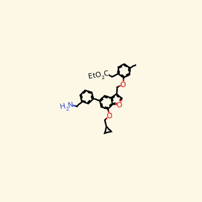 CCOC(=O)Cc1ccc(C)cc1OCc1coc2c(OCC3CC3)cc(-c3cccc(CN)c3)cc12